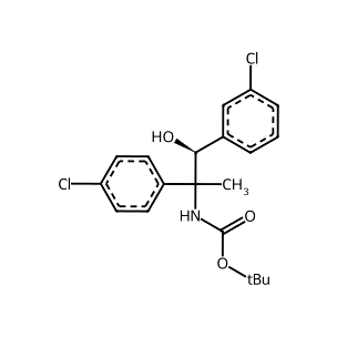 CC(C)(C)OC(=O)NC(C)(c1ccc(Cl)cc1)[C@@H](O)c1cccc(Cl)c1